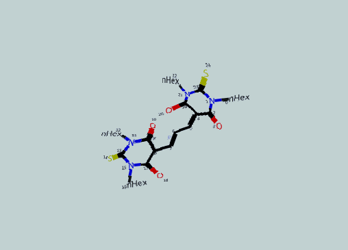 CCCCCCN1C(=O)C(=C/C=C/C2C(=O)N(CCCCCC)C(=S)N(CCCCCC)C2=O)C(=O)N(CCCCCC)C1=S